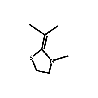 CC(C)=C1SCCN1C